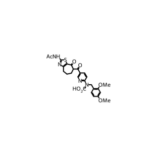 COc1ccc(CN(C(=O)O)c2ccc(C(=O)C3CCCc4nc(NC(C)=O)sc4C3=O)cn2)c(OC)c1